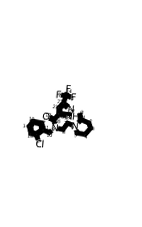 CC1CCCCN1CCN(Cc1ccccc1Cl)C(=O)c1cc(C(F)(F)F)n[nH]1